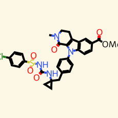 COC(=O)c1ccc2c(c1)c1c(n2-c2ccc(CC3(NC(=O)NS(=O)(=O)c4ccc(Cl)cc4)CC3)cc2)C(=O)N(C)CC1